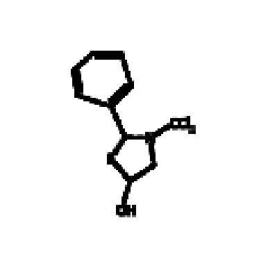 OC1CN(C(Cl)(Cl)Cl)C(c2ccccc2)S1